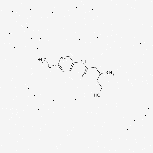 COc1ccc(NC(=O)CN(C)CCO)cc1